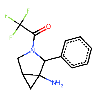 NC12CC1CN(C(=O)C(F)(F)F)C2c1ccccc1